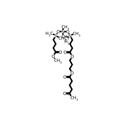 COC(=O)CCC[Si](C)(C)O[Si](C)(C)O[Si](C)(C)CCCC(=O)OCCCOC(=O)CCCC(C)=O